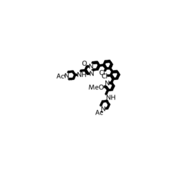 COc1nc(-c2cccc(-c3cccc(-c4ccn5c(=O)c(CNC6CCN(C(C)=O)CC6)cnc5c4)c3Cl)c2Cl)ccc1CNC1CCN(C(C)=O)CC1